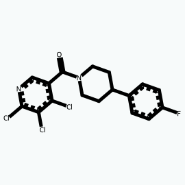 O=C(c1cnc(Cl)c(Cl)c1Cl)N1CCC(c2ccc(F)cc2)CC1